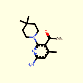 Cc1cc(N)nc(N2CCC(C)(C)CC2)c1C(=O)OCC(C)C